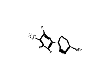 CCC[C@H]1CC[C@H](c2cc(F)c(C)c(F)c2F)CC1